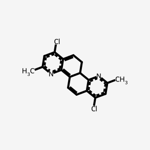 Cc1cc(Cl)c2c(n1)C1CC=c3c(Cl)cc(C)nc3=C1C=C2